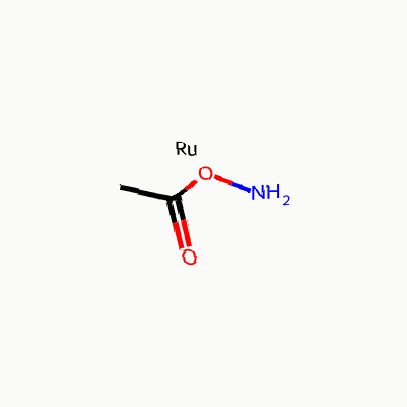 CC(=O)ON.[Ru]